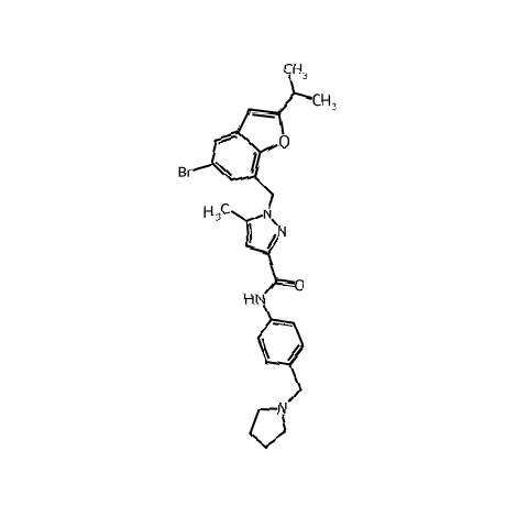 Cc1cc(C(=O)Nc2ccc(CN3CCCC3)cc2)nn1Cc1cc(Br)cc2cc(C(C)C)oc12